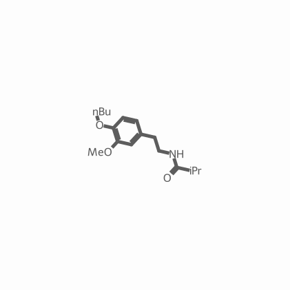 CCCCOc1ccc(CCNC(=O)C(C)C)cc1OC